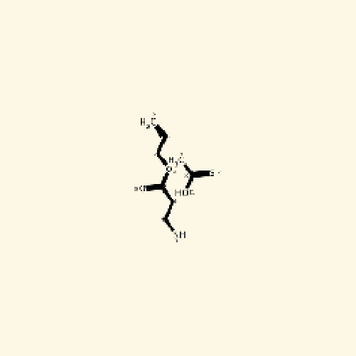 C=CCOC(=O)CCS.CC(O)=S